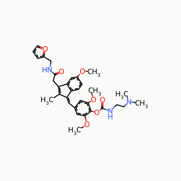 COc1ccc2c(c1)C(CC(=O)NCc1ccco1)=C(C)/C2=C/c1cc(OC)c(OC(=O)NCCN(C)C)c(OC)c1